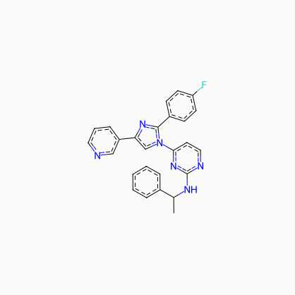 CC(Nc1nccc(-n2cc(-c3cccnc3)nc2-c2ccc(F)cc2)n1)c1ccccc1